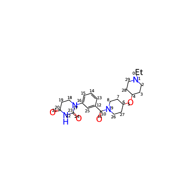 CCN1CCC(OC2CCN(C(=O)c3cccc(N4CCC(=O)NC4=O)c3)CC2)CC1